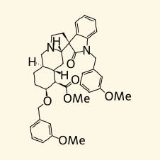 COC(=O)[C@@H]1[C@H]2C[C@@H]3N(CC[C@@]34C(=O)N(Cc3cccc(OC)c3)c3ccccc34)C[C@@H]2CC[C@@H]1OCc1cccc(OC)c1